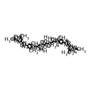 Cc1cc(-c2nc(-c3cc(C)c(OCC(O)CNC(=O)C(O)C(O)C(=O)NCC(O)COc4c(C)cc(-c5noc(-c6cc(C)nc(OC(C)C)n6)n5)cc4C)c(C)c3)no2)nc(OC(C)C)n1